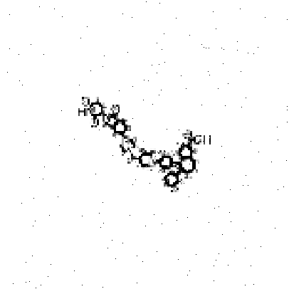 O=C1CC[C@H](N2Cc3cc(N4CCN(CC5CCN(c6ccc(C7=C(c8ccccc8)CCCc8cc(C(=O)O)ccc87)cc6)CC5)CC4)ccc3C2=O)C(=O)N1